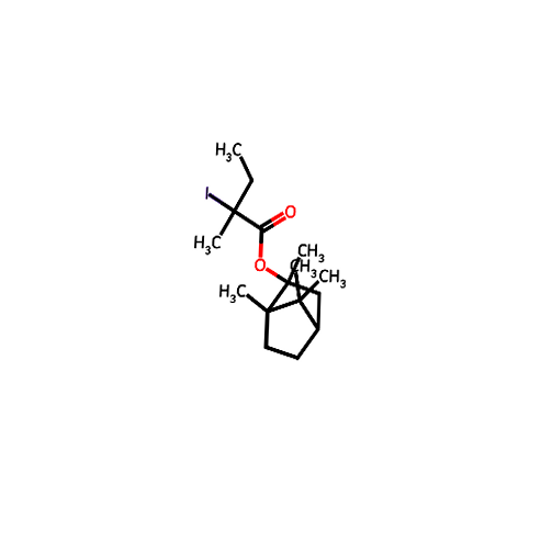 CCC(C)(I)C(=O)OC1(C)CC2CCC1(C)C2(C)C